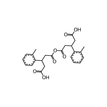 Cc1ccccc1C(CC(=O)O)CC(=O)OC(=O)CC(CC(=O)O)c1ccccc1C